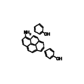 Nc1ccc2ccc3cccc4ccc1c2c34.Oc1ccccc1.Oc1ccccc1